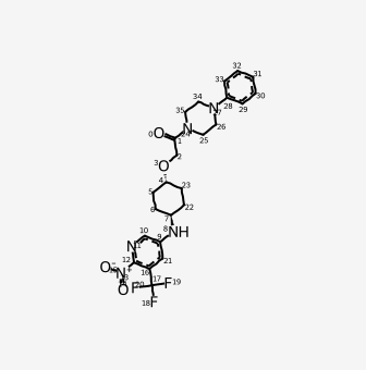 O=C(CO[C@H]1CC[C@H](Nc2cnc([N+](=O)[O-])c(C(F)(F)F)c2)CC1)N1CCN(c2ccccc2)CC1